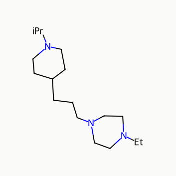 CCN1CCN(CCCC2CCN(C(C)C)CC2)CC1